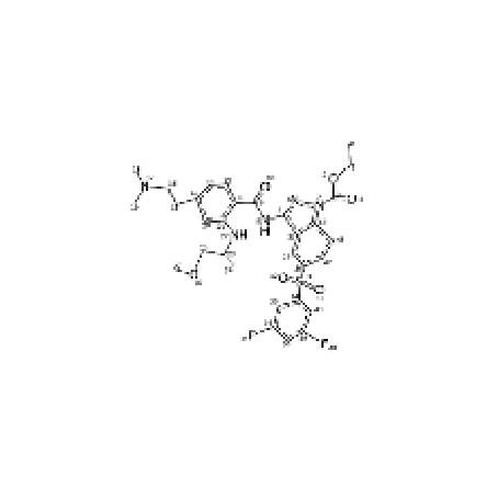 CCOC(=O)n1nc(NC(=O)c2ccc(CCN(C)C)cc2N[C@H](C)COC)c2cc(S(=O)(=O)c3cc(F)cc(F)c3)ccc21